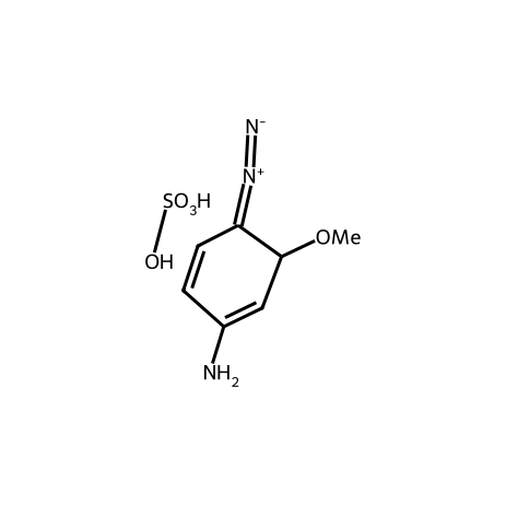 COC1C=C(N)C=CC1=[N+]=[N-].O=S(=O)(O)O